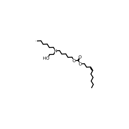 [CH2]CCCCCN(CCO)CCCCCOC(=O)OCC/C=C\CCCCC